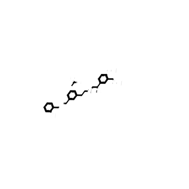 CC(=O)O.OCc1cc([C@@H](O)CNCCc2cccc(COCc3c(Cl)cccc3Cl)c2)ccc1O